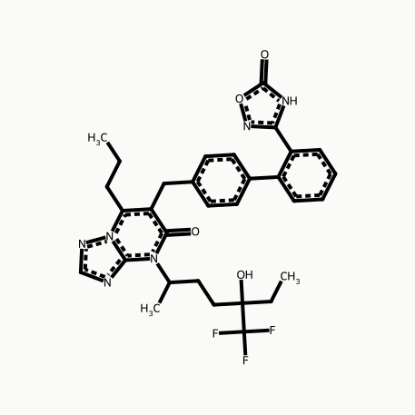 CCCc1c(Cc2ccc(-c3ccccc3-c3noc(=O)[nH]3)cc2)c(=O)n(C(C)CCC(O)(CC)C(F)(F)F)c2ncnn12